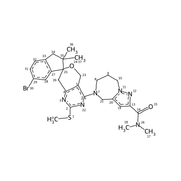 CSc1nc2c(c(N3CCCn4nc(C(=O)N(C)C)cc4C3)n1)COC1(C2)c2cc(Br)ccc2CC1(C)C